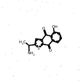 CC(N)c1cc2c(s1)C(=O)c1cccc(O)c1C2=O